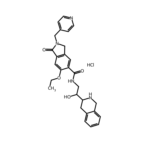 CCOc1cc2c(cc1C(=O)NCC(O)C1Cc3ccccc3CN1)CN(Cc1ccncc1)C2=O.Cl